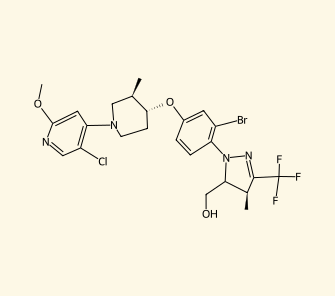 COc1cc(N2CC[C@@H](Oc3ccc(N4N=C(C(F)(F)F)[C@@H](C)C4CO)c(Br)c3)[C@H](C)C2)c(Cl)cn1